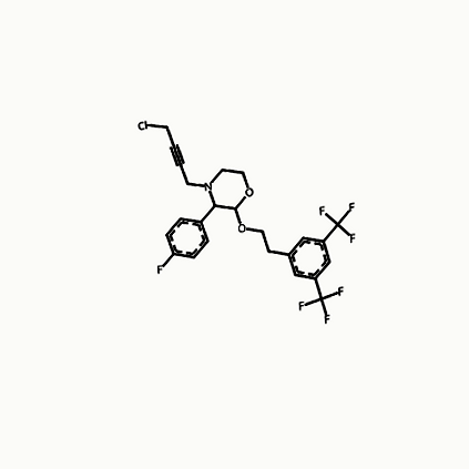 Fc1ccc(C2C(OCCc3cc(C(F)(F)F)cc(C(F)(F)F)c3)OCCN2CC#CCCl)cc1